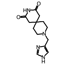 O=C1CC2(CCN(Cc3c[nH]cn3)CC2)CC(=O)N1